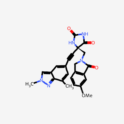 COc1ccc2c(c1)C(=O)N(C[C@@]1(C#Cc3cc(C)c4nn(C)cc4c3)NC(=O)NC1=O)C2